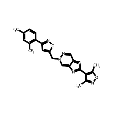 Cc1noc(C)c1-c1nc2cnn(Cc3cc(-c4ccc(C(F)(F)F)cc4C(F)(F)F)no3)cc-2n1